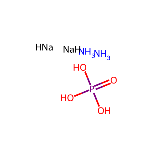 N.N.O=P(O)(O)O.[NaH].[NaH]